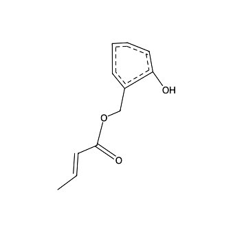 C/C=C/C(=O)OCc1ccccc1O